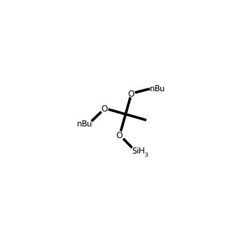 CCCCOC(C)(O[SiH3])OCCCC